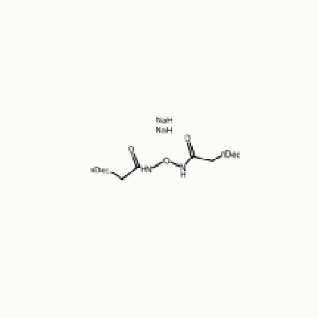 CCCCCCCCCCCC(=O)NONC(=O)CCCCCCCCCCC.[NaH].[NaH]